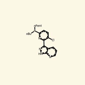 CCCCCN(CCCC)c1ccc(Cl)c(-c2n[nH]c3ncccc23)n1